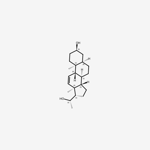 C[C@H](O)[C@H]1CC[C@H]2[C@@H]3CC[C@@H]4C[C@H](O)CC[C@]4(C)[C@H]3C=C[C@]12C